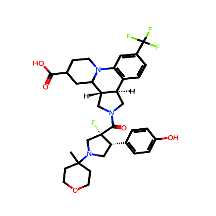 CC1(N2C[C@@H](c3ccc(O)cc3)[C@](F)(C(=O)N3C[C@@H]4c5ccc(C(F)(F)F)cc5N5CCC(C(=O)O)CC5[C@H]4C3)C2)CCOCC1